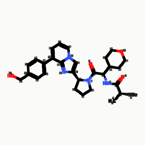 CN[C@@H](C)C(=O)N[C@H](C(=O)N1CCC[C@H]1c1cn2cccc(-c3ccc(CO)cc3)c2n1)C1CCOCC1